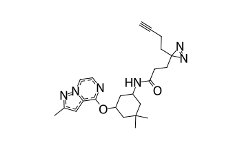 C#CCCC1(CCC(=O)NC2CC(Oc3nccn4nc(C)cc34)CC(C)(C)C2)N=N1